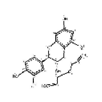 C=CCOCC=C.Oc1cc(O)c2c(c1)O[C@H](c1ccc(O)c(O)c1)[C@@H](O)C2